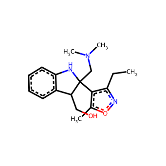 CCc1noc(C)c1C1(CN(C)C)Nc2ccccc2C1CO